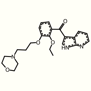 CCOc1c(OCCCN2CCOCC2)cccc1C(=O)c1c[nH]c2ncccc12